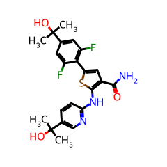 CC(C)(O)c1ccc(Nc2sc(-c3c(F)cc(C(C)(C)O)cc3F)cc2C(N)=O)nc1